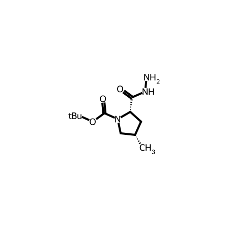 C[C@H]1C[C@@H](C(=O)NN)N(C(=O)OC(C)(C)C)C1